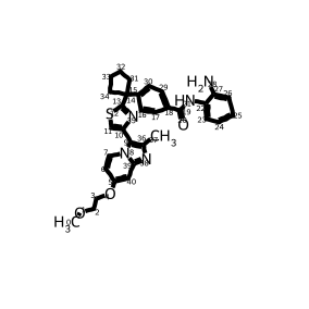 COCCOc1ccn2c(-c3csc(C4(c5ccc(C(=O)Nc6ccccc6N)cc5)CCCC4)n3)c(C)nc2c1